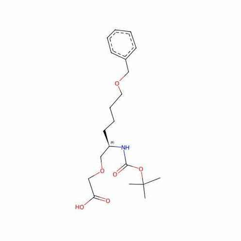 CC(C)(C)OC(=O)N[C@H](CCCCOCc1ccccc1)COCC(=O)O